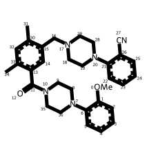 COc1ccccc1N1CCN(C(=O)c2cc(CN3CCN(c4ccccc4C#N)CC3)c(C)cc2C)CC1